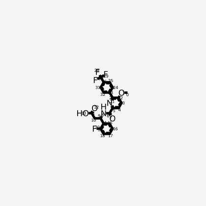 COc1ccc(C(=O)NC(CC(=O)O)c2ccccc2F)nc1-c1ccc(C(F)(F)F)cc1